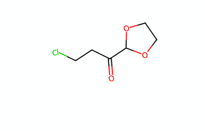 O=C(CCCl)C1OCCO1